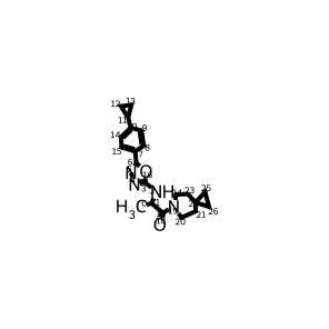 CC(Nc1nnc(-c2ccc(C3CC3)cc2)o1)C(=O)N1CCC2(CC1)CC2